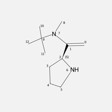 C=C([C@@H]1CCCN1)N(C)C(C)(C)C